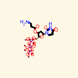 COP(=O)(OC)OP(=O)(OC)OP(=O)(OC)OC[C@H]1O[C@@H](n2ccc(=O)[nH]c2=O)CC1OC(=O)CCN